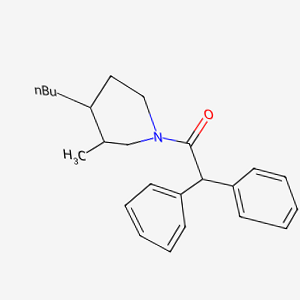 CCCCC1CCN(C(=O)C(c2ccccc2)c2ccccc2)CC1C